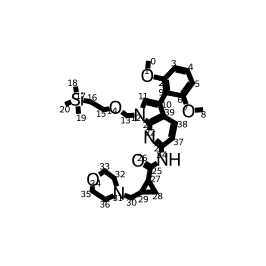 COc1cccc(OC)c1-c1cn(COCC[Si](C)(C)C)c2nc(NC(=O)C3CC3CN3CCOCC3)ccc12